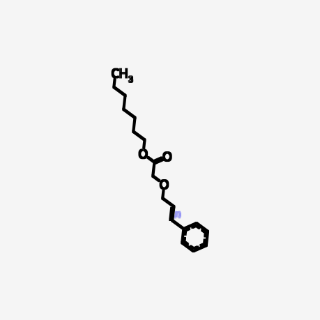 CCCCCCCOC(=O)COC/C=C/c1ccccc1